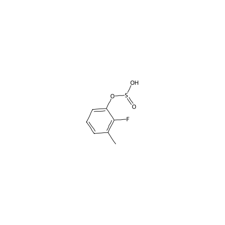 Cc1cccc(OS(=O)O)c1F